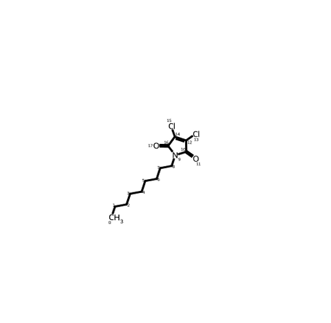 CCCCCCCCCN1C(=O)C(Cl)=C(Cl)C1=O